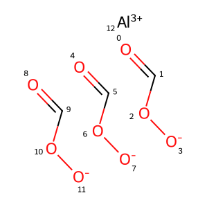 O=CO[O-].O=CO[O-].O=CO[O-].[Al+3]